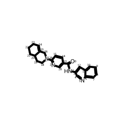 O=C(Nc1cnc2ccccc2c1)c1ccc(N2CCC3CCCC=C3C2)nc1